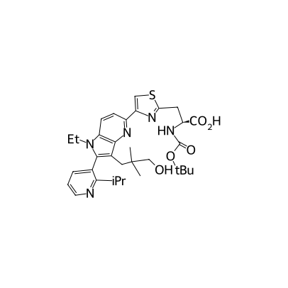 CCn1c(-c2cccnc2C(C)C)c(CC(C)(C)CO)c2nc(-c3csc(C[C@H](NC(=O)OC(C)(C)C)C(=O)O)n3)ccc21